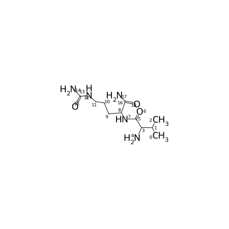 CC(C)C(N)C(=O)NC(CCCNC(N)=O)C(N)=O